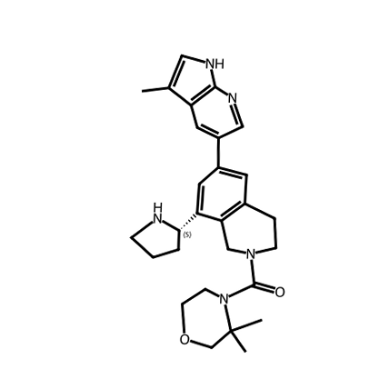 Cc1c[nH]c2ncc(-c3cc4c(c([C@@H]5CCCN5)c3)CN(C(=O)N3CCOCC3(C)C)CC4)cc12